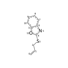 C=CCSc1nc2ccccc2o1